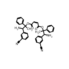 CC(OC(=O)/C=C\C(=O)OC(C)(c1ccccc1)C(N)c1cccc(C#N)c1)(c1ccccc1)C(N)c1cccc(C#N)c1